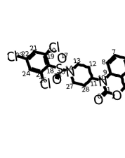 O=C1OCC2C=CC=CC2N1C1CCN(S(=O)(=O)c2c(Cl)cc(Cl)cc2Cl)CC1